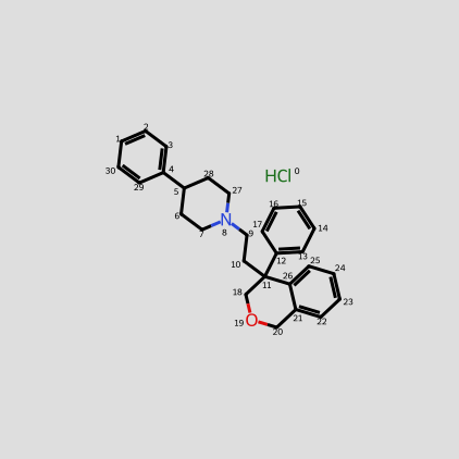 Cl.c1ccc(C2CCN(CCC3(c4ccccc4)COCc4ccccc43)CC2)cc1